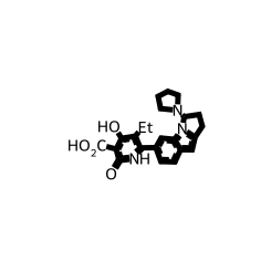 CCc1c(-c2ccc3cc4n(c3c2)C(N2CCCC2)CC4)[nH]c(=O)c(C(=O)O)c1O